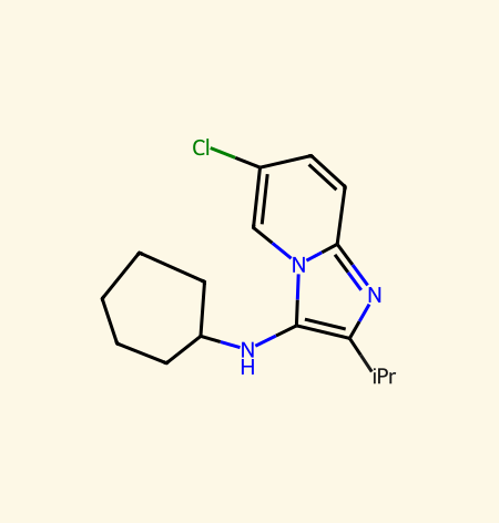 CC(C)c1nc2ccc(Cl)cn2c1NC1CCCCC1